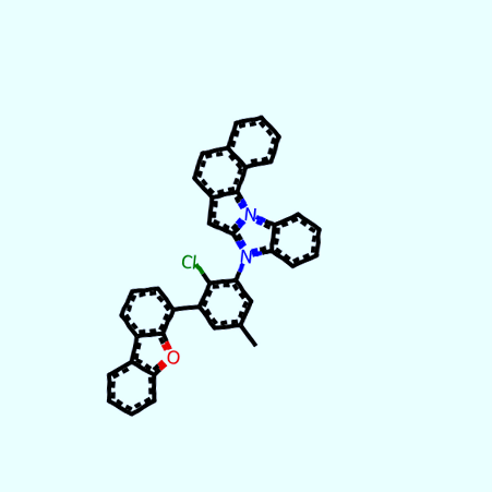 Cc1cc(-c2cccc3c2oc2ccccc23)c(Cl)c(-n2c3ccccc3n3c4c(ccc5ccccc54)cc23)c1